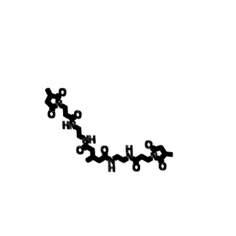 CC(CC(=O)NCCNC(=O)CCN1C(=O)CC(C)C1=O)CC(=O)NCCNC(=O)CCN1C(=O)CC(C)C1=O